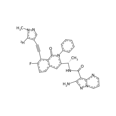 [2H]c1c(C#Cc2c(F)ccc3cc([C@H](C)NC(=O)c4c(N)nn5cccnc45)n(-c4ccccc4)c(=O)c23)cnn1C